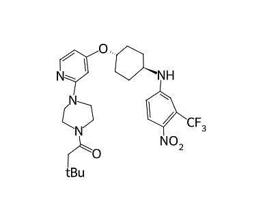 CC(C)(C)CC(=O)N1CCN(c2cc(O[C@H]3CC[C@H](Nc4ccc([N+](=O)[O-])c(C(F)(F)F)c4)CC3)ccn2)CC1